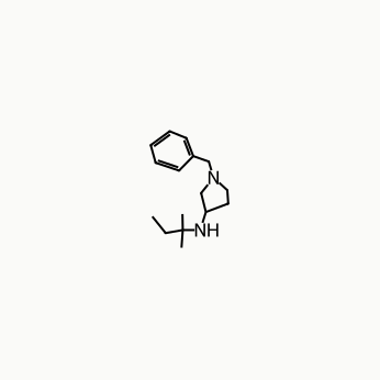 CCC(C)(C)NC1CCN(Cc2ccccc2)C1